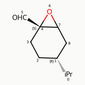 CC(C)[C@@H]1CC[C@]2(C=O)OC2C1